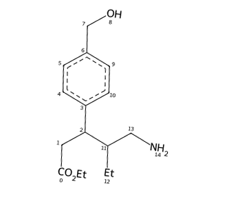 CCOC(=O)CC(c1ccc(CO)cc1)C(CC)CN